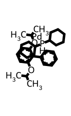 CC(C)Oc1cccc(OC(C)C)c1-c1ccccc1[PH]([Pd])(C1CCCCC1)C1CCCCC1